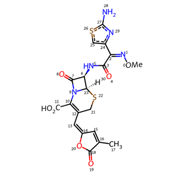 CO/N=C(\C(=O)N[C@@H]1C(=O)N2C(C(=O)O)=C(/C=C3\C=C(C)C(=O)O3)CS[C@H]12)c1csc(N)n1